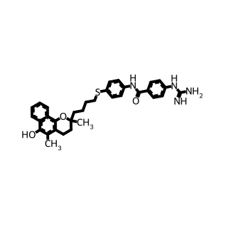 Cc1c2c(c3ccccc3c1O)OC(C)(CCCCSc1ccc(NC(=O)c3ccc(NC(=N)N)cc3)cc1)CC2